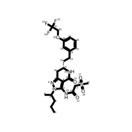 CCCC(C)n1nc2c(c1NC(=O)CS(C)(=O)=O)C(=O)N[C@@H](CCc1cccc(OCC(F)(F)F)c1)C2